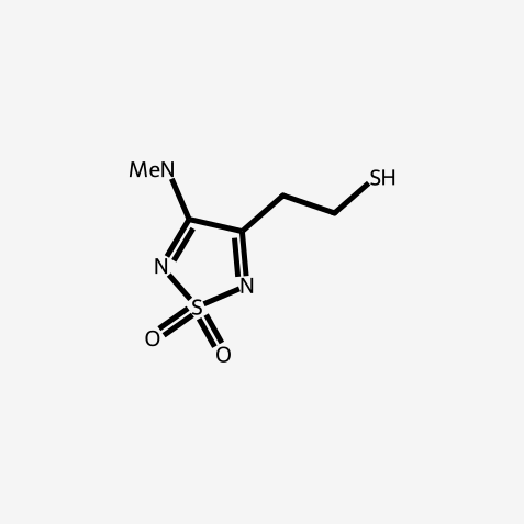 CNC1=NS(=O)(=O)N=C1CCS